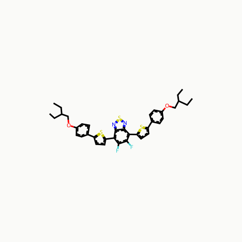 CCC(CC)COc1ccc(-c2ccc(-c3c(F)c(F)c(-c4ccc(-c5ccc(OCC(CC)CC)cc5)s4)c4nsnc34)s2)cc1